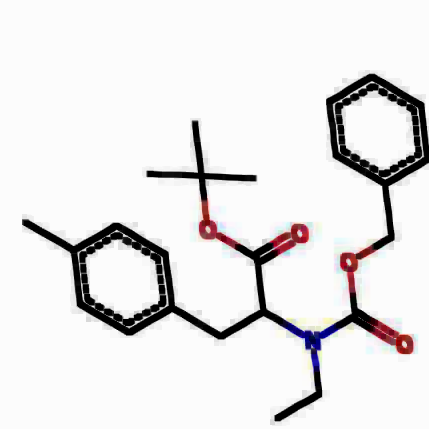 CCN(C(=O)OCc1ccccc1)C(Cc1ccc(C)cc1)C(=O)OC(C)(C)C